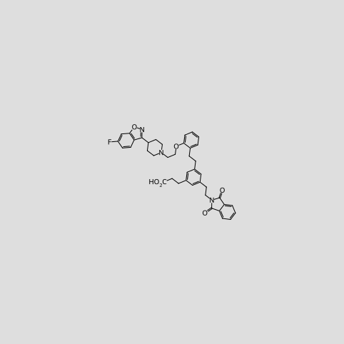 O=C(O)CCc1cc(CCc2ccccc2OCCN2CCC(c3noc4cc(F)ccc34)CC2)cc(CCN2C(=O)c3ccccc3C2=O)c1